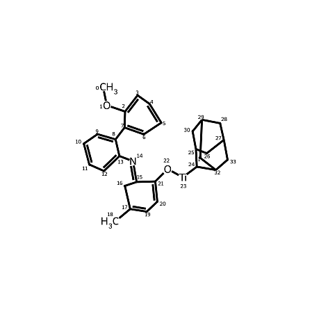 COc1ccccc1-c1ccccc1N=C1CC(C)=CC=C1[O][Ti][CH]1C2CC3CC(C2)CC1C3